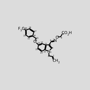 C=CCn1cc(C=NOCC(=O)O)c2cc(OCc3ccc(C(F)(F)F)cc3)ccc21